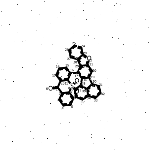 O=C1c2ccccc2S(=O)(=O)c2c1cccc2-c1c2c(cc3oc4ccccc4c13)-c1cccc3cccc-2c13